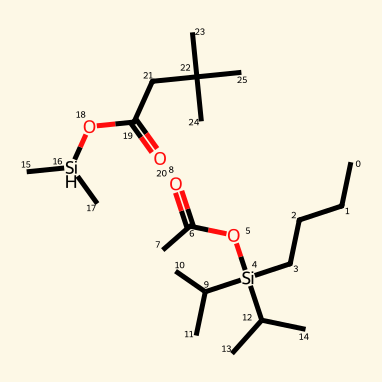 CCCC[Si](OC(C)=O)(C(C)C)C(C)C.C[SiH](C)OC(=O)CC(C)(C)C